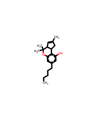 CCCCCc1cc(O)c2c(c1)OC(C)(C)C1C=C(C)CC21